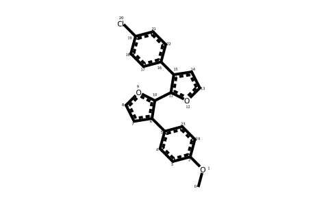 COc1ccc(-c2ccoc2-c2occc2-c2ccc(Cl)cc2)cc1